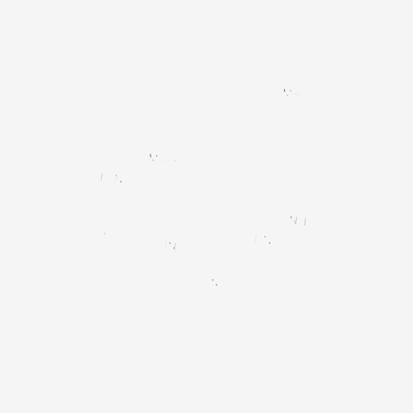 COc1ccc(NNC(=O)C2CCCN2C(=O)NC(C(N)=O)C(C)OC)cc1